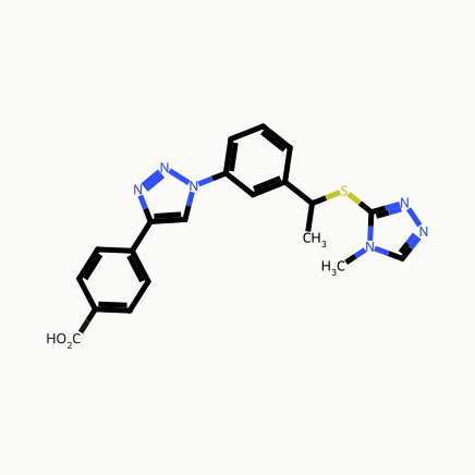 CC(Sc1nncn1C)c1cccc(-n2cc(-c3ccc(C(=O)O)cc3)nn2)c1